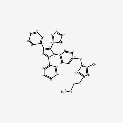 CCCCc1nc(Cl)n(Cc2ccc(-n3c(-c4ccccc4)cc(-c4ccccc4)c3-c3nnn[nH]3)cc2)n1